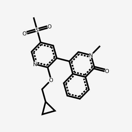 Cn1cc(-c2cc(S(C)(=O)=O)cnc2OCC2CC2)c2ccccc2c1=O